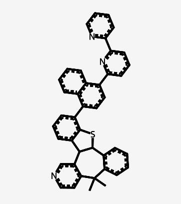 CC1(C)c2ccccc2C2Sc3c(-c4ccc(-c5cccc(-c6ccccn6)n5)c5ccccc45)cccc3C2c2cnccc21